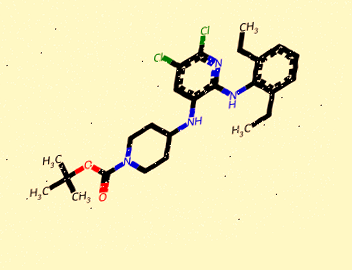 CCc1cccc(CC)c1Nc1nc(Cl)c(Cl)cc1NC1CCN(C(=O)OC(C)(C)C)CC1